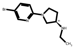 CCN[C@@H]1CCN(c2ccc(Br)cn2)C1